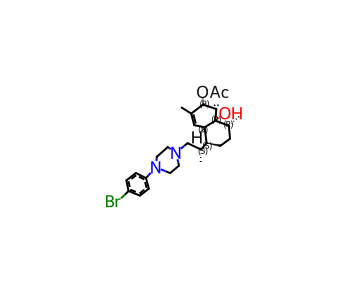 CC(=O)O[C@@H]1[C][C@@]2(O)[C@H](C)CC[C@@H]([C@H](C)CN3CCN(c4ccc(Br)cc4)CC3)[C@H]2C=C1C